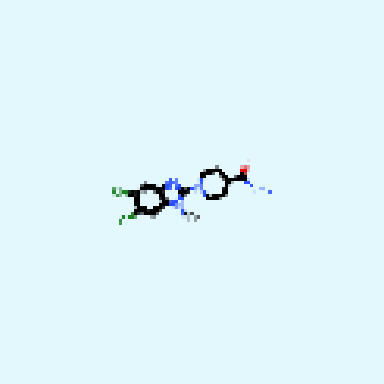 CC(C)n1c(N2CCC(C(N)=O)CC2)nc2cc(Cl)c(Cl)cc21